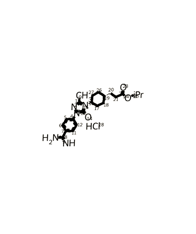 Cc1nn(-c2ccc(C(=N)N)cc2)c(=O)n1[C@H]1CC[C@@H](CCC(=O)OC(C)C)CC1.Cl